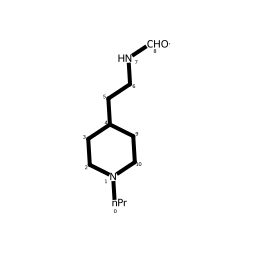 CCCN1CCC(CCN[C]=O)CC1